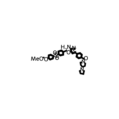 COCOc1ccc(S(=O)(=O)c2ccc(COc3cc(-c4ccc(C(=O)N5CCC(N6CCCC6)CC5)cc4)cnc3N)cc2)cc1